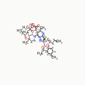 C=CCOC1(C)CCN(c2c(C(OC(C)(C)C)C(=O)O)c(C)nc3cc(COC(C)c4cc(C)ccc4OC(C)CC=C)nn23)CC1